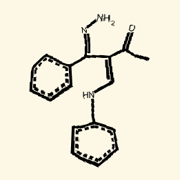 CC(=O)C(=C/Nc1ccccc1)/C(=N\N)c1ccccc1